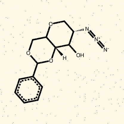 [N-]=[N+]=N[C@H]1COC2COC(c3ccccc3)O[C@H]2C1O